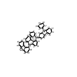 c1ccc(N(c2ccc3c4ccccc4n(-c4ccccc4)c3c2)c2cccc3c2c2ccccc2n3-c2cccc3oc4ccccc4c23)cc1